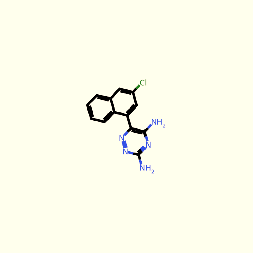 Nc1nnc(-c2cc(Cl)cc3ccccc23)c(N)n1